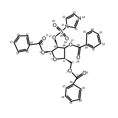 O=C(OC[C@H]1O[C@@H](OC(=O)c2ccccc2)[C@@H](OS(=O)(=O)n2ccnc2)C1OC(=O)c1ccccc1)c1ccccc1